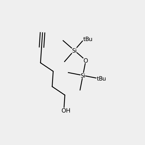 C#CCCCCO.CC(C)(C)[Si](C)(C)O[Si](C)(C)C(C)(C)C